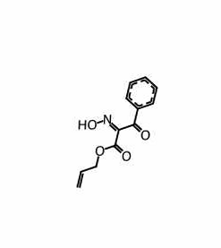 C=CCOC(=O)C(=NO)C(=O)c1ccccc1